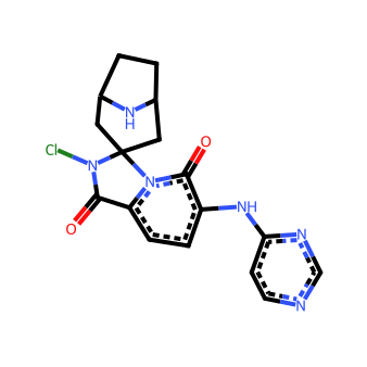 O=C1c2ccc(Nc3ccncn3)c(=O)n2C2(CC3CCC(C2)N3)N1Cl